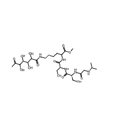 COC(=O)C(CCCCNC(=O)C(O)C(O)C(O)C(O)C(C)=O)NC(=O)C(CO)NC(=O)[C@H](CO)NC(=O)CNC(C)C